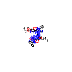 COc1ccc(-c2c(Nc3cc4nc(-c5cc(-c6c(Nc7nonc7N)[nH]c7c(-c8ccccc8)c(-c8ccccc8)nn7c6=O)ccc5OC)nn4cn3)[nH]c3c(-c4ccccc4)c(-c4ccccc4)nn3c2=O)cc1